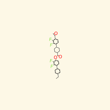 CCc1ccc(-c2ccc(OC(=O)C3CCC(c4ccc(C5CO5)c(F)c4F)CC3)c(F)c2F)cc1